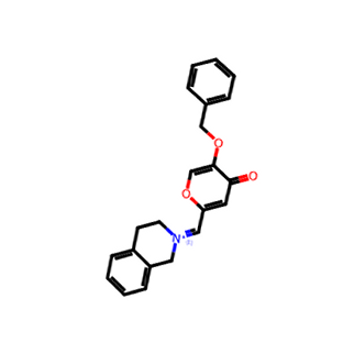 O=c1cc(/C=[N+]2\CCc3ccccc3C2)occ1OCc1ccccc1